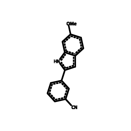 COc1ccc2cc(-c3cccc(C#N)c3)[nH]c2c1